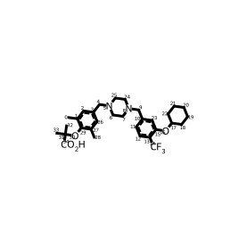 Cc1cc(CN2CCN(Cc3ccc(C(F)(F)F)c(OC4CCCCC4)c3)CC2)cc(C)c1OC(C)(C)C(=O)O